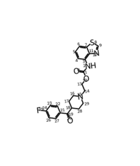 O=C(Nc1cccc2scnc12)OCCN1CCC(C(=O)c2ccc(F)cc2)CC1